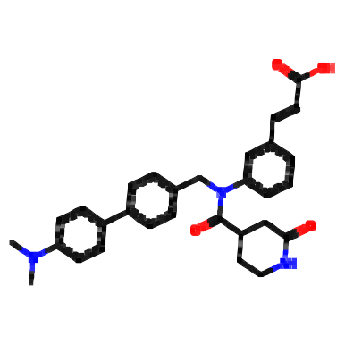 CN(C)c1ccc(-c2ccc(CN(C(=O)C3CCNC(=O)C3)c3cccc(C=CC(=O)O)c3)cc2)cc1